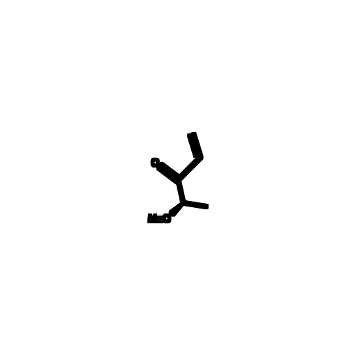 C=CC(=O)[C@@H](C)OC